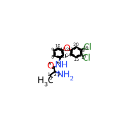 CCC(N)C(=O)Nc1cccc(Oc2ccc(Cl)c(Cl)c2)c1